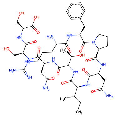 CC[C@H](C)[C@H](NC(=O)[C@H](CC(N)=O)NC(=O)[C@@H]1CCCN1C(=O)[C@H](Cc1ccccc1)NC(=O)[C@@H](N)CCCNC(=N)N)C(=O)N[C@H](C(=O)N[C@@H](CC(N)=O)C(=O)N[C@@H](CO)C(=O)N[C@@H](CO)C(=O)O)[C@@H](C)O